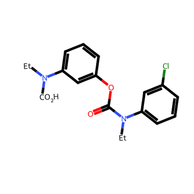 CCN(C(=O)O)c1cccc(OC(=O)N(CC)c2cccc(Cl)c2)c1